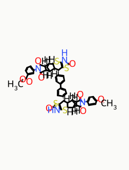 COC(=O)c1cccc(N2C(=O)[C@@H]3[C@H]4C[C@H]([C@@H]5Sc6[nH]c(=O)sc6[C@@H](c6ccc(-c7ccc([C@H]8c9sc(=O)[nH]c9S[C@@H]9[C@@H]%10C[C@@H]([C@@H]%11C(=O)N(c%12ccc(OC)cc%12)C(=O)[C@H]%10%11)[C@H]89)cc7)cc6)[C@H]45)[C@@H]3C2=O)c1